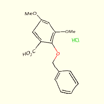 COc1cc(OC)c(OCc2ccccc2)c(C(=O)O)c1.Cl